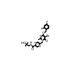 Cc1nc(OCc2ccc(F)cc2F)c(Br)c(=O)n1Cc1cnc(C(=O)NCC(C)(C)O)cn1